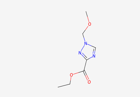 CCOC(=O)c1ncn(COC)n1